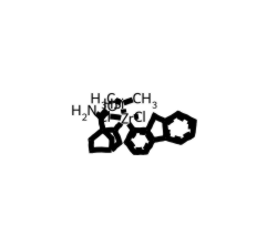 C[SiH](C)[Zr]([Cl])([Cl])([c]1cccc2c1Cc1ccccc1-2)[CH]1CC2CCC1(C(N)=O)C2